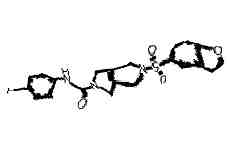 O=C(Nc1ccc(F)cc1)N1CC2=C(C1)CN(S(=O)(=O)c1ccc3occc3c1)C2